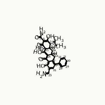 CN(C)[C@H]1C(O)=C(C(N)=O)C(=O)[C@@]2(O)C(O)=C3C(=O)c4c(O)c(CN)cc(-c5ccccc5)c4C[C@H]3C[C@@H]12